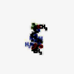 COc1ncc(-c2ccc3ncnc(N[C@H]4CCN(C(=O)C(C[Se]C)OC(N)=O)C4)c3n2)cc1C(F)(F)F